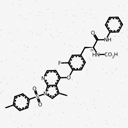 Cc1ccc(S(=O)(=O)n2cc(C)c3c(Oc4ccc(C[C@H](NC(=O)O)C(=O)Nc5ccccc5)cc4F)ccnc32)cc1